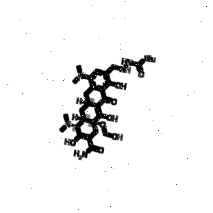 CN(C)c1cc(CNNC(=O)C(C)(C)C)c(O)c2c1C[C@H]1C[C@H]3[C@@H](N(C)C)C(O)=C(C(N)=O)C[C@@]3(OCO)C(O)=C1C2=O